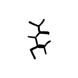 C=C(C(C)C)N(C)C(CC)=C(C)C